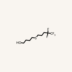 OCCCCSCCCC(F)(F)C(F)(F)F